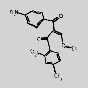 CCO/C=C(/C(=O)c1ccc([N+](=O)[O-])cc1)C(=O)c1ccc(C(F)(F)F)cc1[N+](=O)[O-]